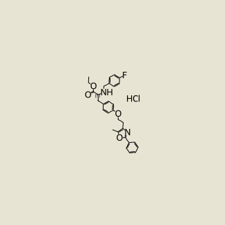 CCOC(=O)[C@H](Cc1ccc(OCCc2nc(-c3ccccc3)oc2C)cc1)NCc1ccc(F)cc1.Cl